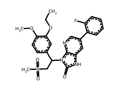 CCOc1cc(C(CS(C)(=O)=O)n2c(=O)[nH]c3cc(-c4ccccc4F)cnc32)ccc1OC